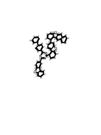 c1ccc(-c2ccc(-c3nc(-c4ccc5oc6ccccc6c5c4)nc(-c4cccc5oc6cc(-c7cccc8oc9cc%10ccccc%10cc9c78)ccc6c45)n3)cc2)cc1